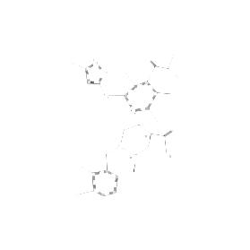 Cc1cc(Nc2nc(C[C@@]3(C(=O)O)CCN(Cc4cccc(Cl)c4F)[C@H](C)C3)c(F)c(C(=O)C(C)C)c2F)n[nH]1